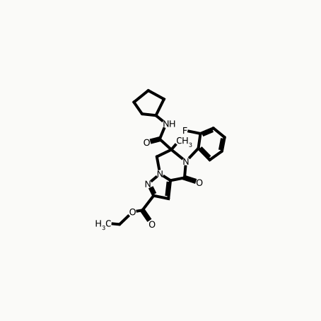 CCOC(=O)c1cc2n(n1)CC(C)(C(=O)NC1CCCC1)N(c1ccccc1F)C2=O